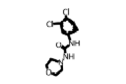 O=C(Nc1ccc(Cl)c(Cl)c1)NN1CCOCC1